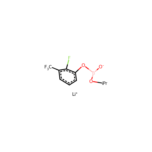 CC(C)OB([O-])Oc1cccc(C(F)(F)F)c1F.[Li+]